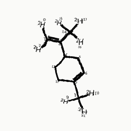 [2H]C([2H])=C(C1CC=C(C([2H])([2H])[2H])CC1)C([2H])([2H])[2H]